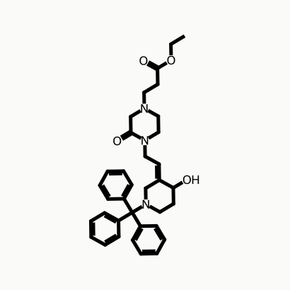 CCOC(=O)CCN1CCN(C/C=C2\CN(C(c3ccccc3)(c3ccccc3)c3ccccc3)CCC2O)C(=O)C1